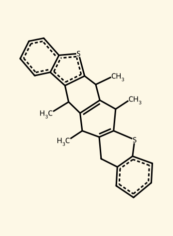 CC1C2=C(Cc3ccccc3S2)C(C)C2=C1C(C)c1sc3ccccc3c1C2C